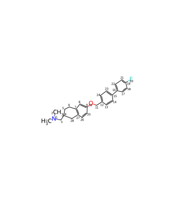 CN(C)CC1CCc2cc(OCc3ccc(-c4ccc(F)cc4)cc3)ccc2C1